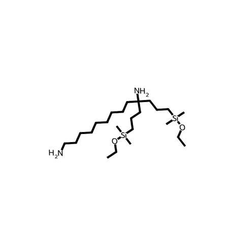 CCO[Si](C)(C)CCCC(N)(CCCCCCCCCN)CCC[Si](C)(C)OCC